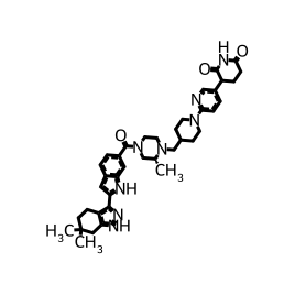 C[C@H]1CN(C(=O)c2ccc3cc(-c4n[nH]c5c4CCC(C)(C)C5)[nH]c3c2)CCN1CC1CCN(c2ccc(C3CCC(=O)NC3=O)cn2)CC1